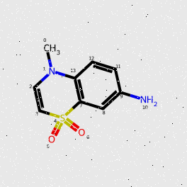 CN1C=CS(=O)(=O)c2cc(N)ccc21